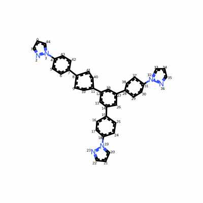 c1cnn(-c2ccc(-c3ccc(-c4cc(-c5ccc(-n6cccn6)cc5)cc(-c5ccc(-n6cccn6)cc5)c4)cc3)cc2)c1